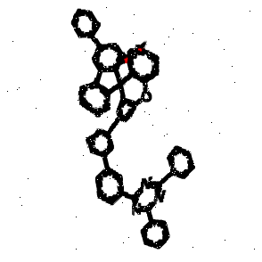 c1ccc(-c2ccc3c(c2)-c2ccccc2C32c3cc(-c4cccc(-c5cccc(-c6nc(-c7ccccc7)nc(-c7ccccc7)n6)c5)c4)ccc3Oc3ccc4ccccc4c32)cc1